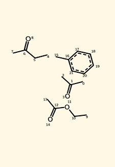 CC(C)=O.CCC(C)=O.CCOC(C)=O.Cc1ccccc1